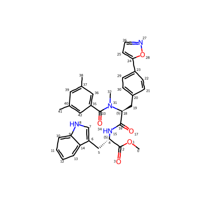 COC(=O)[C@H](Cc1c[nH]c2ccccc12)NC(=O)[C@H](Cc1ccc(-c2ccno2)cc1)N(C)C(=O)c1cc(C)cc(C)c1